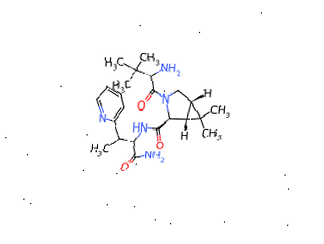 CC(c1ccccn1)C(NC(=O)[C@@H]1[C@@H]2[C@H](CN1C(=O)C(N)C(C)(C)C)C2(C)C)C(N)=O